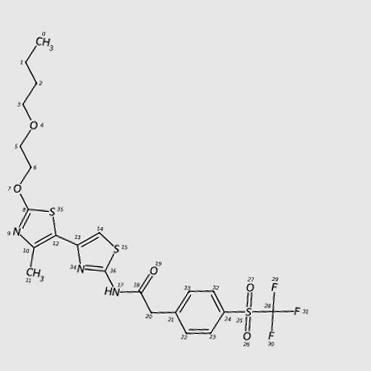 CCCCOCCOc1nc(C)c(-c2csc(NC(=O)Cc3ccc(S(=O)(=O)C(F)(F)F)cc3)n2)s1